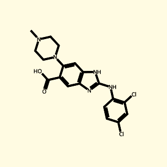 CN1CCN(c2cc3[nH]c(Nc4ccc(Cl)cc4Cl)nc3cc2C(=O)O)CC1